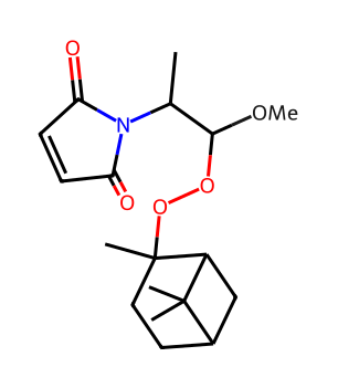 COC(OOC1(C)CCC2CC1C2(C)C)C(C)N1C(=O)C=CC1=O